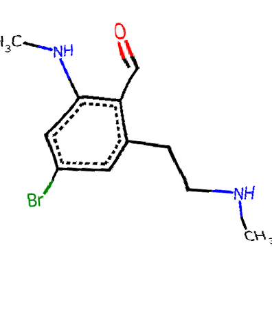 CNCCc1cc(Br)cc(NC)c1C=O